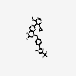 COc1ncnc(C2CC2)c1-c1ncc2c(n1)N(Cc1ccc(-c3nc(C(C)(F)F)cn3C)cc1)CC(=O)N2